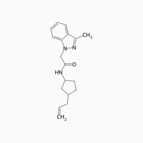 C=CCC1CCC(NC(=O)Cn2nc(C)c3ccccc32)C1